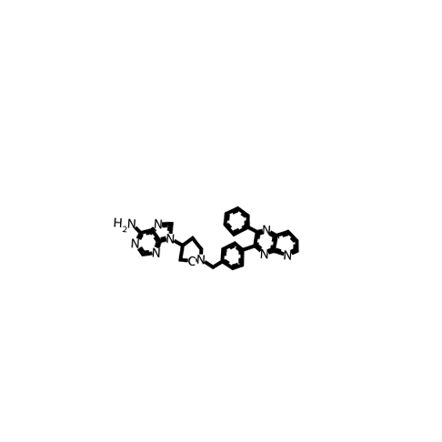 Nc1ncnc2c1ncn2C1CCN(Cc2ccc(-c3nc4ncccc4nc3-c3ccccc3)cc2)CC1